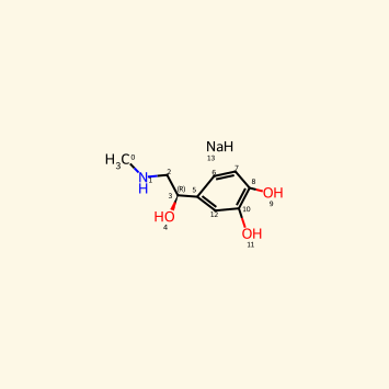 CNC[C@H](O)c1ccc(O)c(O)c1.[NaH]